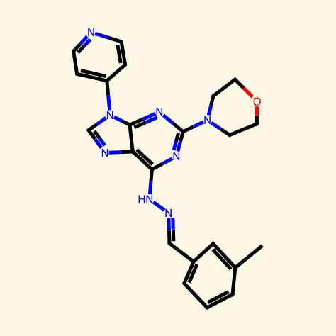 Cc1cccc(C=NNc2nc(N3CCOCC3)nc3c2ncn3-c2ccncc2)c1